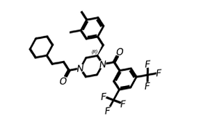 Cc1ccc(C[C@@H]2CN(C(=O)CCC3CCCCC3)CCN2C(=O)c2cc(C(F)(F)F)cc(C(F)(F)F)c2)cc1C